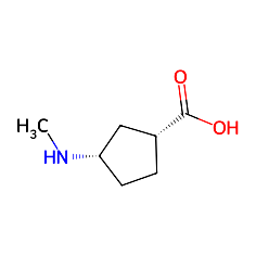 CN[C@H]1CC[C@@H](C(=O)O)C1